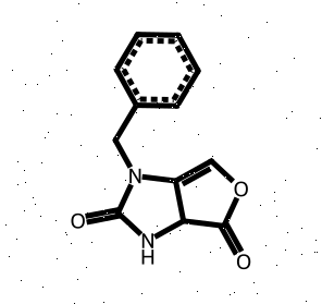 O=C1OC=C2C1NC(=O)N2Cc1ccccc1